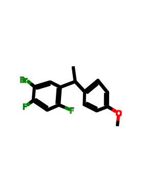 COc1ccc(C(C)c2cc(Br)c(F)cc2F)cc1